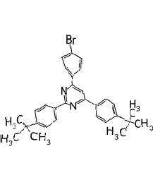 CC(C)(C)c1ccc(-c2cc(-c3ccc(Br)cc3)nc(-c3ccc(C(C)(C)C)cc3)n2)cc1